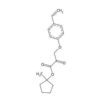 C=Cc1ccc(OCC(=O)C(=O)OC2(C)CCCC2)cc1